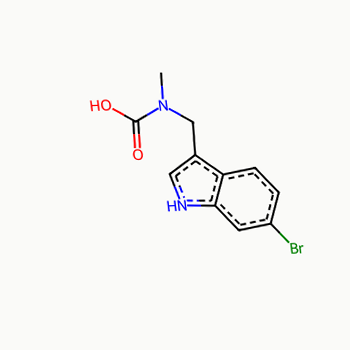 CN(Cc1c[nH]c2cc(Br)ccc12)C(=O)O